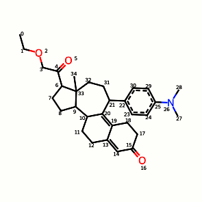 CCOCC(=O)C1CCC2C3CCC4=CC(=O)CCC4=C3C(c3ccc(N(C)C)cc3)CCC12C